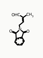 C/C(C=O)=C/CN1C(=O)c2ccccc2C1=O